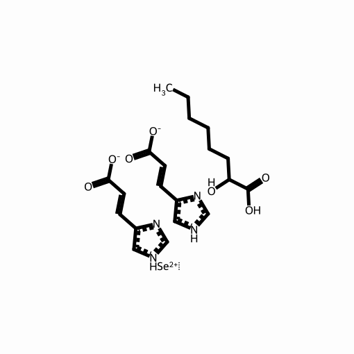 CCCCCCC(O)C(=O)O.O=C([O-])C=Cc1c[nH]cn1.O=C([O-])C=Cc1c[nH]cn1.[Se+2]